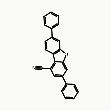 N#Cc1cc(-c2ccccc2)cc2oc3cc(-c4ccccc4)ccc3c12